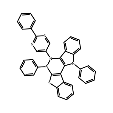 c1ccc(B2c3sc4ccccc4c3-c3c(c4ccccc4n3-c3ccccc3)N2c2cnc(-c3ccccc3)nc2)cc1